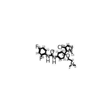 CN(C)CCOC1(c2c(Cl)cnn2C)C=CC(NC(=O)Nc2ccc(F)cc2F)=CC1